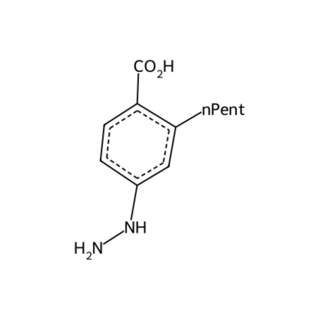 CCCCCc1cc(NN)ccc1C(=O)O